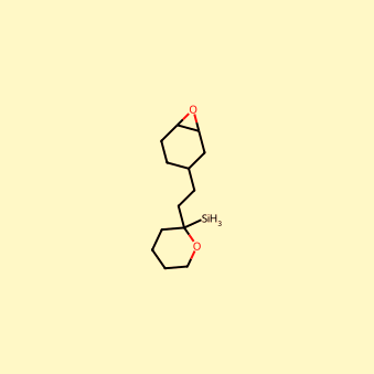 [SiH3]C1(CCC2CCC3OC3C2)CCCCO1